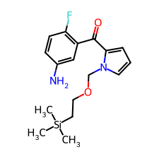 C[Si](C)(C)CCOCn1cccc1C(=O)c1cc(N)ccc1F